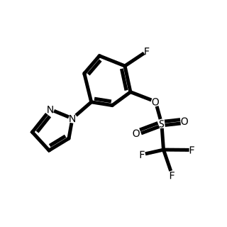 O=S(=O)(Oc1cc(-n2cccn2)ccc1F)C(F)(F)F